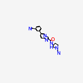 N#Cc1cccc(-c2ccc3nc(C(=O)NC4CCN(C#N)C4)cn3c2)c1